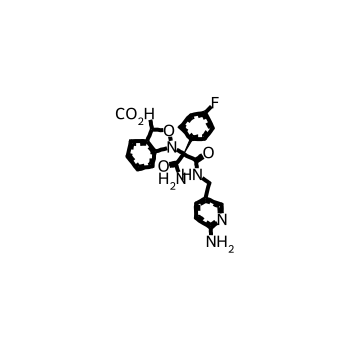 NC(=O)[C@](C(=O)NCc1ccc(N)nc1)(c1ccc(F)cc1)N1OC(C(=O)O)c2ccccc21